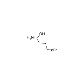 CCCCCC[C@H](N)O